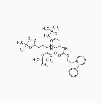 CC(C)(C)OC(=O)CCC(NC(=O)C(CC(=O)OC(C)(C)C)NC(=O)OCC1c2ccccc2-c2ccccc21)C(=O)OC(C)(C)C